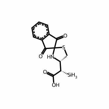 O=C(O)[C@@H]([SiH3])[C@H]1CSC2(N1)C(=O)c1ccccc1C2=O